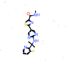 CNC(=O)c1csc(-c2cnc(NC(C)(C)c3ncccc3F)nc2)n1